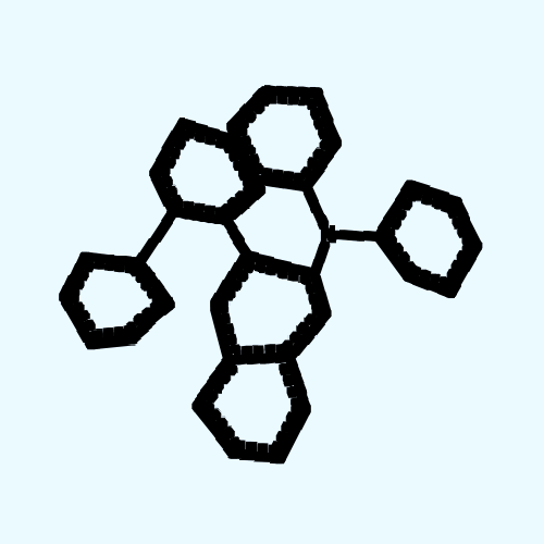 c1ccc(-c2ccccc2-c2cc3ccccc3cc2N(c2ccccc2)c2ccccc2)cc1